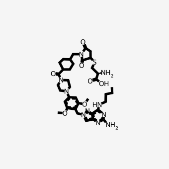 CCCCNc1nc(N)nc2cn(Cc3c(OC)cc(N4CCN(C(=O)C5CCC(CN6C(=O)CC(SC[C@@H](N)C(=O)O)C6=O)CC5)CC4)cc3OC)nc12